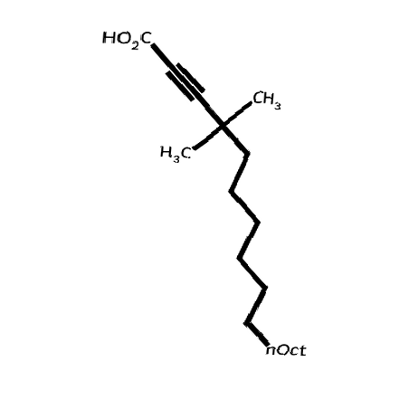 CCCCCCCCCCCCCCC(C)(C)C#CC(=O)O